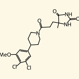 COc1cc(C2CCN(C(=O)CCC3(C)NC(=O)NC3=O)CC2)cc(Cl)c1Cl